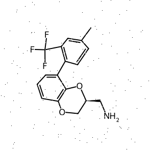 Cc1ccc(-c2cccc3c2O[C@@H](CN)CO3)c(C(F)(F)F)c1